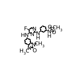 Cn1c(=O)n(C)c2cc(Nc3nc(Nc4cccc(NS(C)(=O)=O)c4)ncc3F)ccc21